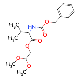 COC(COC(=O)[C@@H](NC(=O)OCc1ccccc1)C(C)C)OC